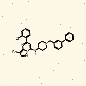 Clc1ccccc1-c1cc(NC2CCN(Cc3cccc(-c4ccccc4)c3)CC2)n2ncc(Br)c2n1